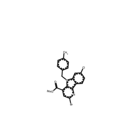 COC(=O)c1cc(Br)nc2c3ccc(Cl)cc3n(Cc3ccc(C)cc3)c12